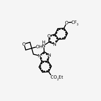 CCOC(=O)c1ccc2c(c1)nc(Nc1nc3ccc(OC(F)(F)F)cc3o1)n2CC1(O)COC1